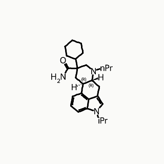 CCCN1CC(C(N)=O)(C2CCCCC2)C[C@@H]2c3cccc4c3c(cn4C(C)C)C[C@H]21